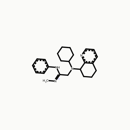 C/N=C(/CN(C1CCCCC1)C1CCCc2cccnc21)Nc1ccccc1